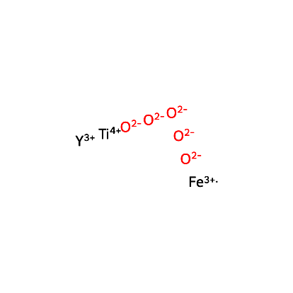 [Fe+3].[O-2].[O-2].[O-2].[O-2].[O-2].[Ti+4].[Y+3]